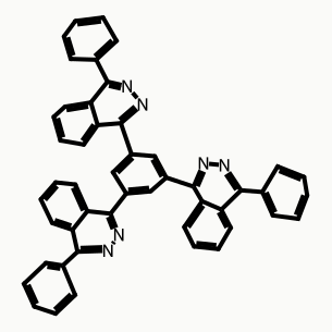 c1ccc(-c2nnc(-c3cc(-c4nnc(-c5ccccc5)c5ccccc45)cc(-c4nnc(-c5ccccc5)c5ccccc45)c3)c3ccccc23)cc1